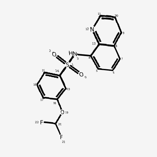 O=S(=O)(Nc1cccc2cccnc12)c1cccc(OC(F)F)c1